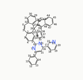 C1=Cc2ccc(-c3nc(-c4ccccc4)cc(-c4cccnc4)n3)cc2C2(c3ccccc31)c1ccccc1-c1c2ccc2ccccc12